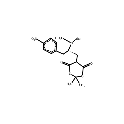 CC1(C)OC(=O)C(C[C@H](Cc2ccc([N+](=O)[O-])cc2)N(C(=O)O)C(C)(C)C)C(=O)O1